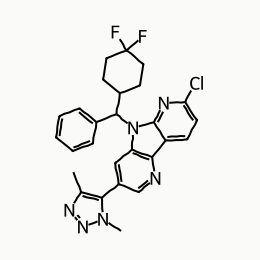 Cc1nnn(C)c1-c1cnc2c3ccc(Cl)nc3n(C(c3ccccc3)C3CCC(F)(F)CC3)c2c1